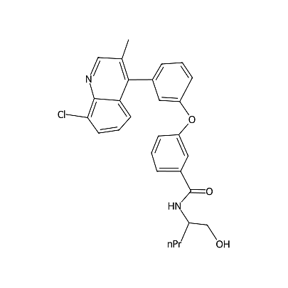 CCCC(CO)NC(=O)c1cccc(Oc2cccc(-c3c(C)cnc4c(Cl)cccc34)c2)c1